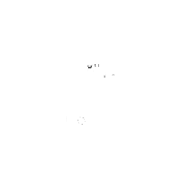 CCCCCCCCCCCCCP(O)(O)(O)CCCCCCCCCCCCCc1cc(C)ccc1C(C)(C)C